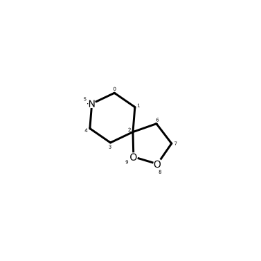 C1CC2(CC[N]1)CCOO2